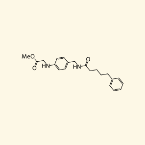 COC(=O)CNc1ccc(CNC(=O)CCCCc2ccccc2)cc1